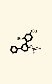 CC(C)(C)c1ccc(-c2cc(-c3ccccc3)ccc2OPO)c(C(C)(C)C)c1